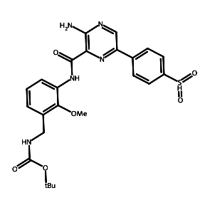 COc1c(CNC(=O)OC(C)(C)C)cccc1NC(=O)c1nc(-c2ccc([SH](=O)=O)cc2)cnc1N